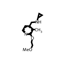 COCCOc1nccc(CNC2CC2)c1C